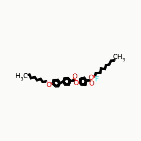 CCCCCCCCCC(F)OC(=O)c1ccc(OC(=O)c2ccc(-c3ccc(OCCCCCCCC)cc3)cc2)cc1